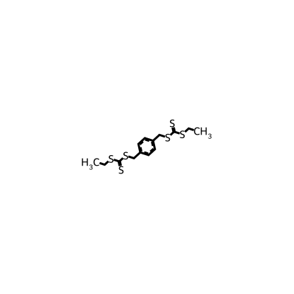 CCSC(=S)SCc1ccc(CSC(=S)SCC)cc1